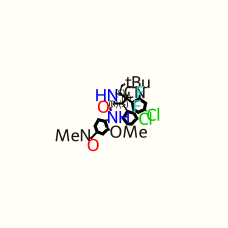 CNC(=O)c1ccc(NC(=O)[C@@H]2N[C@@H](CC(C)(C)C)[C@](C#N)(c3ccc(Cl)cc3F)[C@H]2c2cccc(Cl)c2F)c(OC)c1